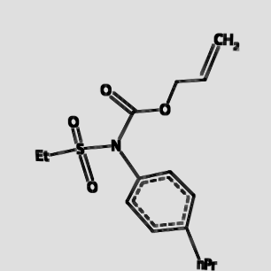 C=CCOC(=O)N(c1ccc(CCC)cc1)S(=O)(=O)CC